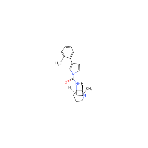 Cc1ccccc1-c1ccn(C(=O)N[C@@H]2C3CCN(CC3)[C@H]2C)c1